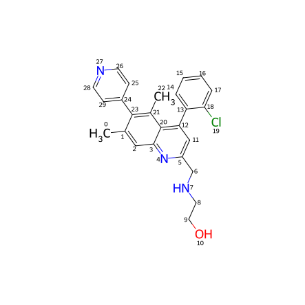 Cc1cc2nc(CNCCO)cc(-c3ccccc3Cl)c2c(C)c1-c1ccncc1